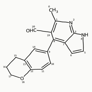 Cc1nc2[nH]ccc2c(-c2ccc3c(c2)CCCO3)c1C=O